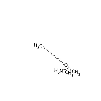 CCCCCCCCCCCCCON(CCC)C(C)CN